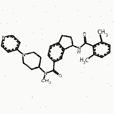 Cc1cccc(C)c1C(=O)NC1CCc2ccc(C(=O)N(C)C3CCN(c4ccncc4)CC3)cc21